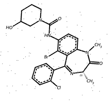 C[C@@H]1N=C(c2ccccc2Cl)c2c(ccc(NC(=O)N3CCCC(O)C3)c2Br)N(C)C1=O